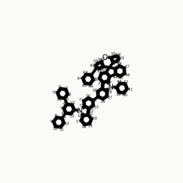 c1ccc(-c2cc(-c3ccccc3)cc(-n3c4ccccc4c4cc(-c5ccc6c(c5)c5ccc7c(c5n6-c5ccccc5)-c5ccccc5C75c6ccccc6Oc6ccc(-c7ccccc7)cc65)ccc43)c2)cc1